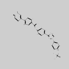 C=C/C=C\C(=C/CC)c1ccc(C(=O)Nc2ccc(-c3ncn(-c4ccc(OC(F)(F)F)cc4)n3)cc2)cc1